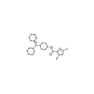 O=C(Oc1ccc([SH](c2ccccc2)c2ccccc2)cc1)c1sc(I)cc1F